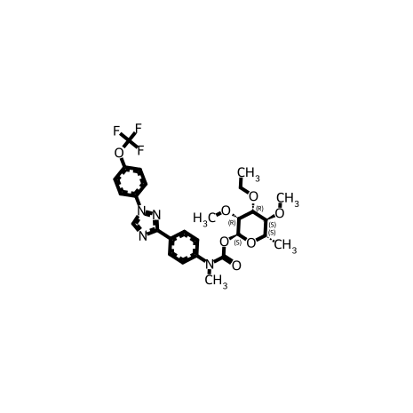 CCO[C@@H]1[C@@H](OC)[C@H](C)O[C@@H](OC(=O)N(C)c2ccc(-c3ncn(-c4ccc(OC(F)(F)F)cc4)n3)cc2)[C@@H]1OC